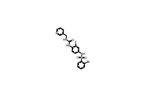 O=C(NCc1cccnc1)Nc1ccc(NS(=O)(=O)c2ccccc2Br)cc1F